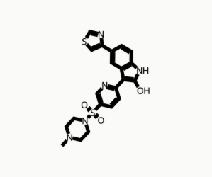 CN1CCN(S(=O)(=O)c2ccc(-c3c(O)[nH]c4ccc(-c5cscn5)cc34)nc2)CC1